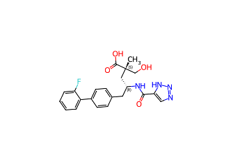 C[C@@](CO)(C[C@@H](Cc1ccc(-c2ccccc2F)cc1)NC(=O)c1cnn[nH]1)C(=O)O